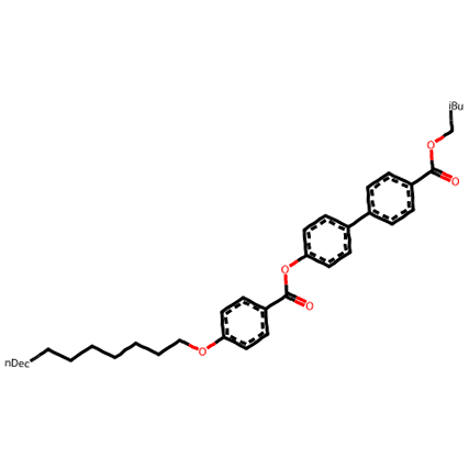 CCCCCCCCCCCCCCCCCOc1ccc(C(=O)Oc2ccc(-c3ccc(C(=O)OCC(C)CC)cc3)cc2)cc1